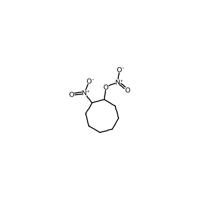 O=[N+]([O-])OC1CCCCCCC1[N+](=O)[O-]